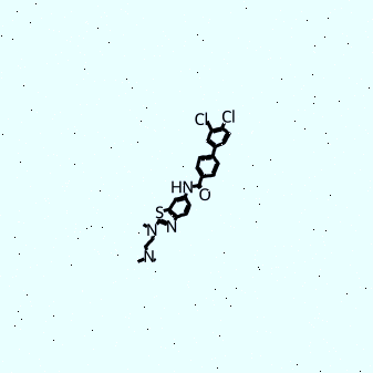 CN(C)CCN(C)c1nc2ccc(NC(=O)c3ccc(-c4ccc(Cl)c(Cl)c4)cc3)cc2s1